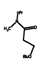 CCCN(C)C(=O)CCOCC(C)C